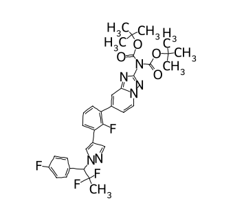 CC(C)(C)OC(=O)N(C(=O)OC(C)(C)C)c1nc2cc(-c3cccc(-c4cnn(C(c5ccc(F)cc5)C(C)(F)F)c4)c3F)ccn2n1